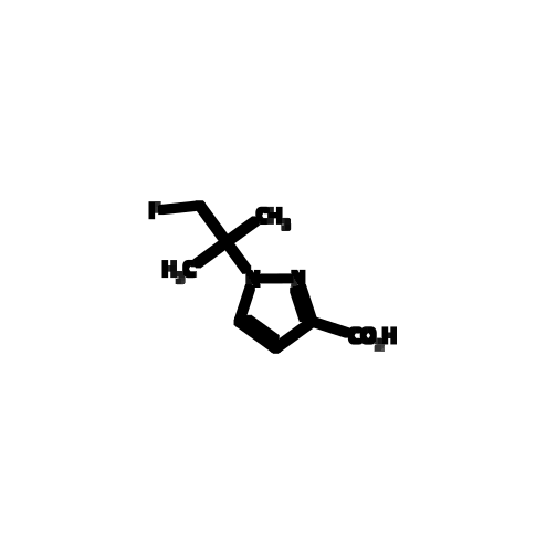 CC(C)(CF)n1ccc(C(=O)O)n1